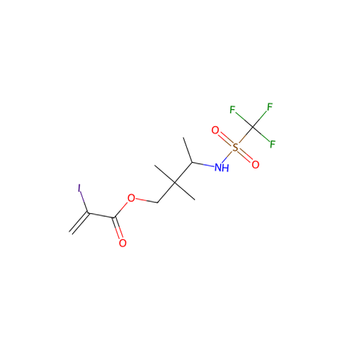 C=C(I)C(=O)OCC(C)(C)C(C)NS(=O)(=O)C(F)(F)F